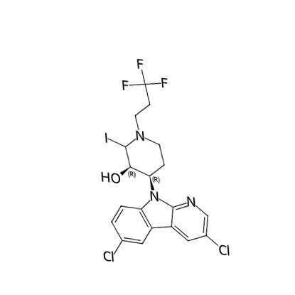 O[C@H]1C(I)N(CCC(F)(F)F)CC[C@H]1n1c2ccc(Cl)cc2c2cc(Cl)cnc21